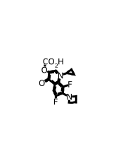 O=C(O)Oc1cn(C2CC2)c2c(F)c(N3CCC3)c(F)cc2c1=O